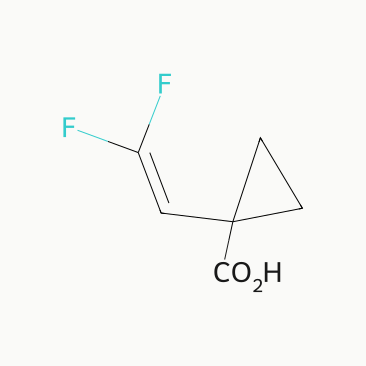 O=C(O)C1(C=C(F)F)CC1